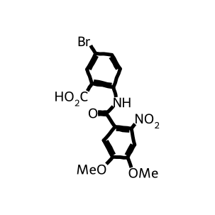 COc1cc(C(=O)Nc2ccc(Br)cc2C(=O)O)c([N+](=O)[O-])cc1OC